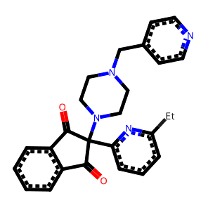 CCc1cccc(C2(N3CCN(Cc4ccncc4)CC3)C(=O)c3ccccc3C2=O)n1